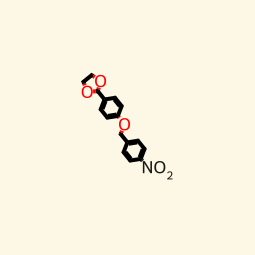 O=[N+]([O-])c1ccc(COc2ccc(C3OCCO3)cc2)cc1